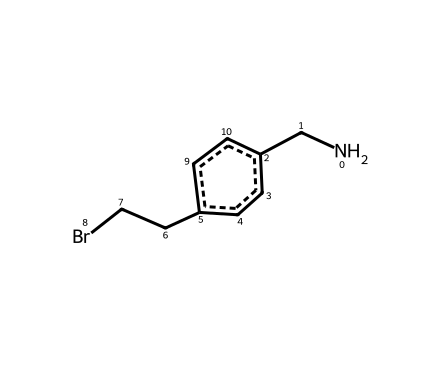 NCc1ccc(CCBr)cc1